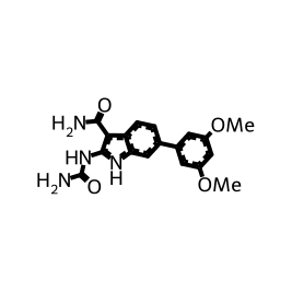 COc1cc(OC)cc(-c2ccc3c(C(N)=O)c(NC(N)=O)[nH]c3c2)c1